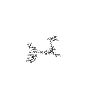 CC[C@H](C)[C@@H]([C@@H](CC(=O)N1C[C@@H](OC(=O)OCc2ccc(NC(=O)[C@H](CCCNC(N)=O)NC(=O)[C@@H](NC(=O)CCCCCN3C(=O)CC(SCC4(CC(N)=O)CC4)C3=O)C(C)C)cc2)C[C@H]1[C@H](OC)[C@@H](C)C(=O)NCCc1c(F)cccc1F)OC)N(C)C(=O)[C@@H](NC(=O)[C@H](C(C)C)N(C)C)C(C)C